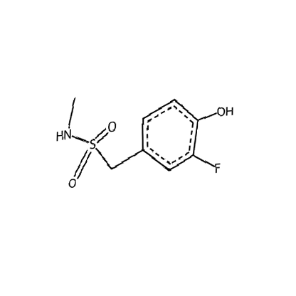 CNS(=O)(=O)Cc1ccc(O)c(F)c1